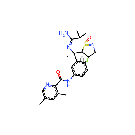 Cc1cnc(C(=O)Nc2ccc(F)c([C@@]3(C)N=C(N)C(C)(C)[S@@]4(=O)=NCC[C@@H]34)c2)c(C)c1